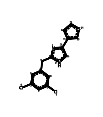 Clc1cc(Cl)cc(Cc2nc(-c3ccsc3)c[nH]2)c1